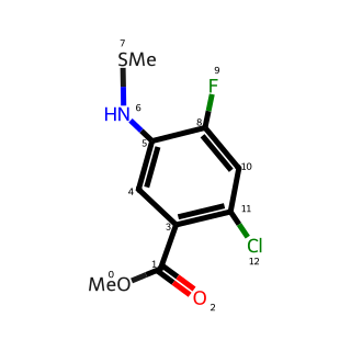 COC(=O)c1cc(NSC)c(F)cc1Cl